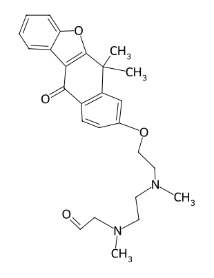 CN(CC=O)CCN(C)CCOc1ccc2c(c1)C(C)(C)c1oc3ccccc3c1C2=O